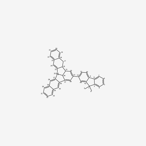 CC1(C)c2ccccc2-c2ccc(C3=CC4C5Cc6ccccc6C=C5N5c6cc7ccccc7cc6C(=C3)C45)cc21